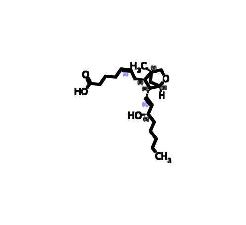 CCCCC[C@H](O)/C=C/[C@@H]1[C@@H](C/C=C\CCCC(=O)O)[C@@]2(C)CO[C@@H]1C2